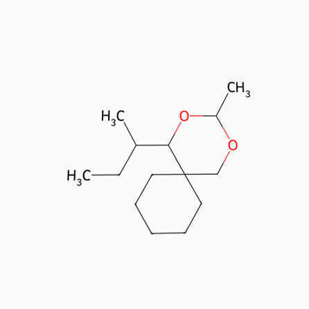 CCC(C)C1OC(C)OCC12CCCCC2